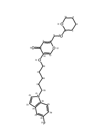 O=c1cc(COC2CCCCO2)occ1OCCCCCn1ccc2cc(F)ccc21